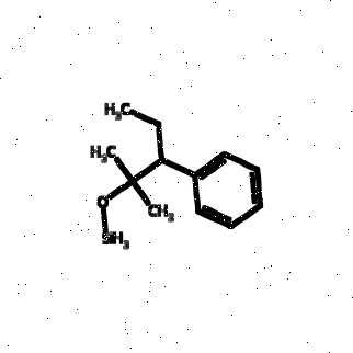 CCC(c1ccccc1)C(C)(C)O[SiH3]